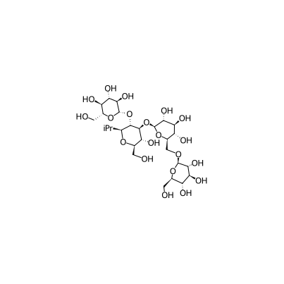 CC(C)[C@@H]1O[C@H](CO)[C@@H](O)[C@H](O[C@@H]2O[C@H](CO[C@@H]3O[C@H](CO)[C@@H](O)[C@H](O)[C@H]3O)[C@@H](O)[C@H](O)[C@H]2O)[C@H]1O[C@@H]1O[C@H](CO)[C@@H](O)[C@H](O)[C@H]1O